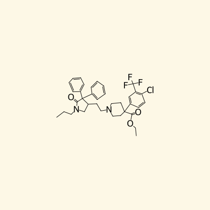 CCCN1CC(CCN2CCC(C(=O)OCC)(c3ccc(Cl)c(C(F)(F)F)c3)CC2)C(c2ccccc2)(c2ccccc2)C1=O